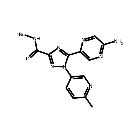 Cc1ccc(-n2nc(C(=O)NC(C)(C)C)nc2-c2cnc(N)cn2)cn1